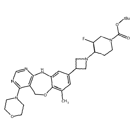 Cc1cc(C2CN(C3CCN(C(=O)OC(C)(C)C)CC3F)C2)cc2c1OCc1c(ncnc1N1CCOCC1)N2